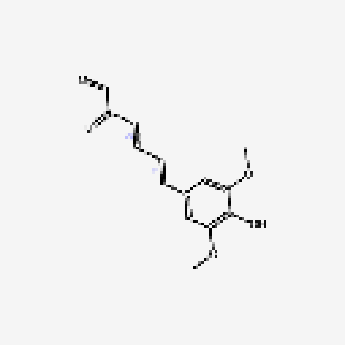 COc1cc(/C=C/C=C/C(=O)C=O)cc(OC)c1O